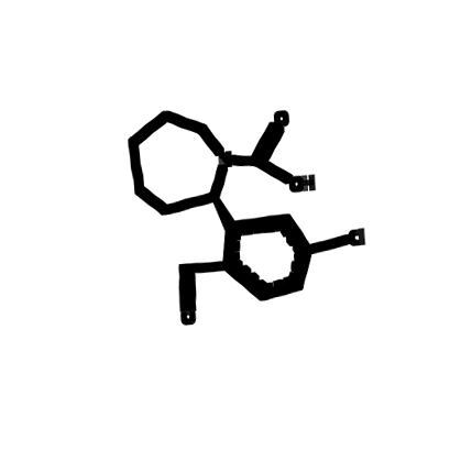 O=Cc1ccc(Cl)cc1[C@H]1CCCCCN1C(=O)O